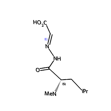 CN[C@@H](CC(C)C)C(=O)N/N=C/C(=O)O